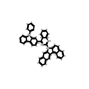 c1ccc(-n2c3ccccc3c3ccc(-c4nc(-n5c6cc7ccccc7cc6c6c7ccccc7ccc65)nc5ccccc45)cc32)cc1